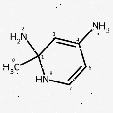 CC1(N)C=C(N)C=CN1